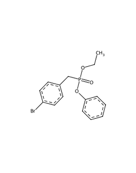 CCOP(=O)(Cc1ccc(Br)cc1)Oc1ccccc1